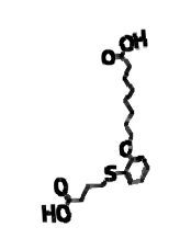 O=C(O)CCCCCCCOc1ccccc1SCCCC(=O)O